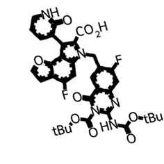 CC(C)(C)OC(=O)Nc1nc2cc(F)c(Cn3c(C(=O)O)c(-c4ccc[nH]c4=O)c4c5occc5c(F)cc43)cc2c(=O)n1C(=O)OC(C)(C)C